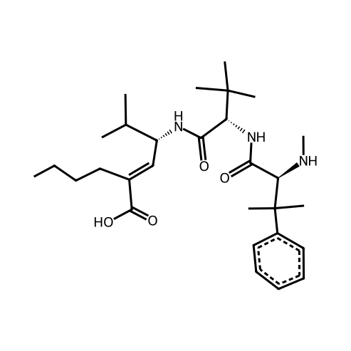 CCCC/C(=C\[C@@H](NC(=O)[C@@H](NC(=O)[C@@H](NC)C(C)(C)c1ccccc1)C(C)(C)C)C(C)C)C(=O)O